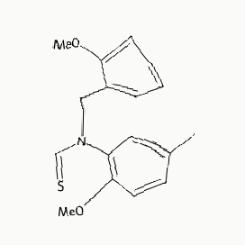 COc1ccccc1CN(C=S)c1cc(C)ccc1OC